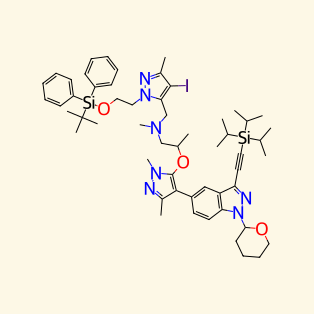 Cc1nn(CCO[Si](c2ccccc2)(c2ccccc2)C(C)(C)C)c(CN(C)CC(C)Oc2c(-c3ccc4c(c3)c(C#C[Si](C(C)C)(C(C)C)C(C)C)nn4C3CCCCO3)c(C)nn2C)c1I